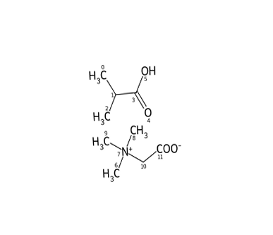 CC(C)C(=O)O.C[N+](C)(C)CC(=O)[O-]